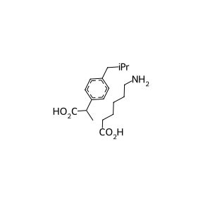 CC(C)Cc1ccc(C(C)C(=O)O)cc1.NCCCCCC(=O)O